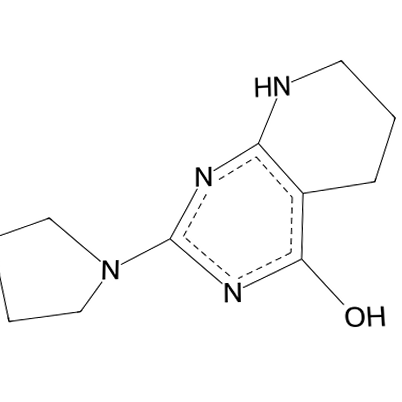 Oc1nc(N2CCCC2)nc2c1CCCN2